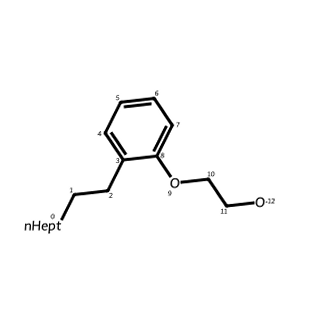 CCCCCCCCCc1ccccc1OCC[O]